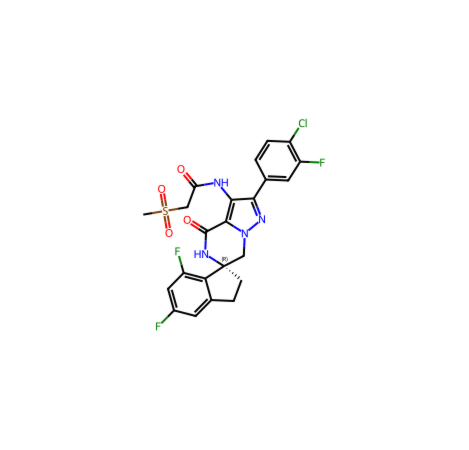 CS(=O)(=O)CC(=O)Nc1c(-c2ccc(Cl)c(F)c2)nn2c1C(=O)N[C@@]1(CCc3cc(F)cc(F)c31)C2